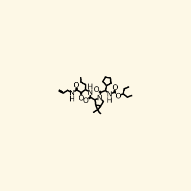 C=CCNC(=O)C(=O)C(CCC)NC(=O)C1C2C(CN1C(=O)C(NC(=O)OC(CC)CC)C1CCCC1)C2(C)C